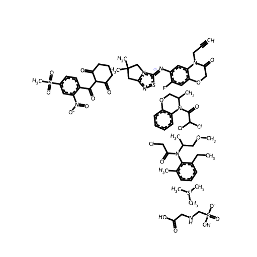 C#CCN1C(=O)COc2cc(F)c(/N=c3\snc4n3CC(C)(C)C4)cc21.CC1COc2ccccc2N1C(=O)C(Cl)Cl.CCc1cccc(C)c1N(C(=O)CCl)C(C)COC.CS(=O)(=O)c1ccc(C(=O)C2C(=O)CCCC2=O)c([N+](=O)[O-])c1.C[S+](C)C.O=C(O)CNCP(=O)([O-])O